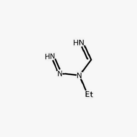 CCN(C=N)N=N